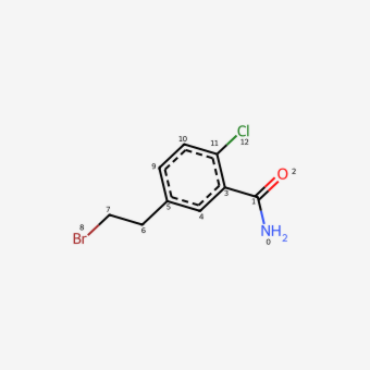 NC(=O)c1cc(CCBr)ccc1Cl